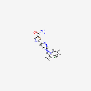 NC(=O)c1cnc(-c2ccc(NCC3(c4ncccc4F)CCC3)nn2)s1